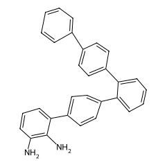 Nc1cccc(-c2ccc(-c3ccccc3-c3ccc(-c4ccccc4)cc3)cc2)c1N